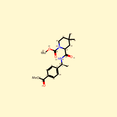 COC(=O)c1ccc([C@H](C)NC(=O)C2CC(C)(C)CCN2C(=O)OC(C)(C)C)cc1